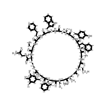 CCCC[C@H]1C(=O)N(C)CC(=O)N[C@@H](CC(=O)O)C(=O)N[C@@H](C(C)C)C(=O)N(C)C(Cc2ccccc2)C(=O)N[C@@H](Cc2ccc(O)cc2)C(=O)N(C)CC(=O)NC[C@@H](Cc2c[nH]c3ccccc23)C(=O)N[C@H](CCc2ccncc2)C(=O)N[C@@H](CC(C)C)C(=O)N[C@H](C(=O)NCC(N)=O)CSCC(=O)N[C@@H](Cc2cc(F)c(F)c(F)c2)C(=O)N(C)[C@@H](Cc2ccccc2)C(=O)N1C